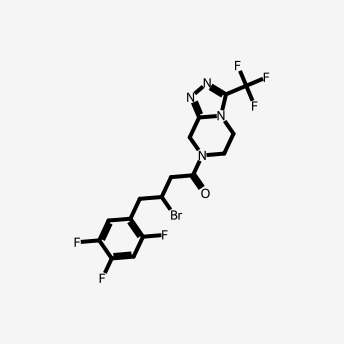 O=C(CC(Br)Cc1cc(F)c(F)cc1F)N1CCn2c(nnc2C(F)(F)F)C1